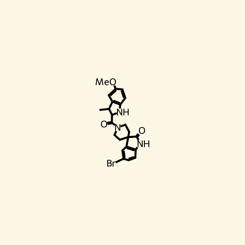 COc1ccc2c(c1)C(C)C(C(=O)N1CCC3(CC1)C(=O)Nc1ccc(Br)cc13)N2